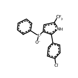 [O-][S+](c1ccccc1)c1cc(C(F)(F)F)[nH]c1-c1ccc(Cl)cc1